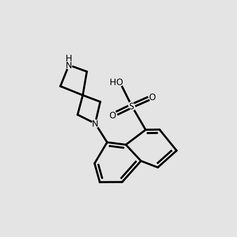 O=S(=O)(O)c1cccc2cccc(N3CC4(CNC4)C3)c12